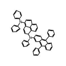 C1=CC(N(c2ccccc2)c2ccc3c(-c4ccccc4)c4ccccc4c(-c4ccccc4)c3c2)c2cccc3ccc(N(c4ccccc4)c4ccccc4)c1c23